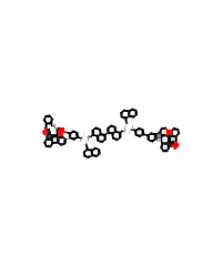 c1ccc2c(c1)-c1ccccc1C21c2cc(-c3ccc(-c4nc(-c5cccc6ccccc56)nc(-c5cccc6c(-c7cccc8c(-c9nc(-c%10ccc(-c%11ccc%12c(c%11)c%11cccc%13c%11n%12-c%11ccccc%11C%13%11c%12ccccc%12-c%12ccccc%12%11)cc%10)nc(-c%10cccc%11ccccc%10%11)n9)cccc78)cccc56)n4)cc3)ccc2-n2c3ccccc3c3cccc1c32